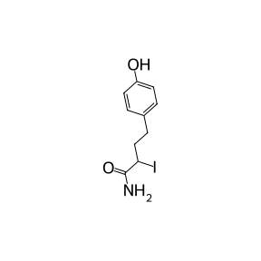 NC(=O)C(I)CCc1ccc(O)cc1